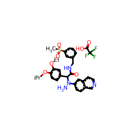 CCOc1cc(C(C(=O)NCc2cccc(S(C)(=O)=O)c2)N(N)c2ccc3cnccc3c2)ccc1OC(C)C.O=C(O)C(F)(F)F